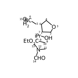 C1CCOC1.CC#N.CC(C)O.CCOC(C)=O.CN(C)C=O.O